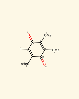 CCCCCCC1=C(C)C(=O)C(OC)=C(OC)C1=O